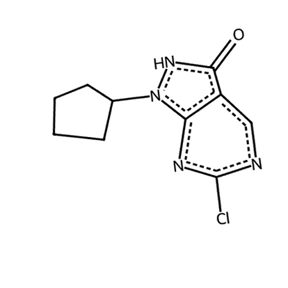 O=c1[nH]n(C2CCCC2)c2nc(Cl)ncc12